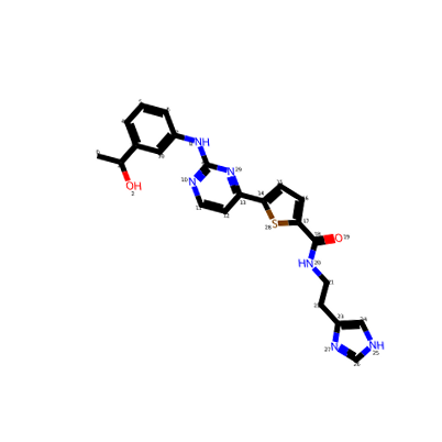 CC(O)c1cccc(Nc2nccc(-c3ccc(C(=O)NCCc4c[nH]cn4)s3)n2)c1